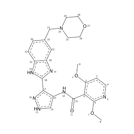 COc1ccnc(OC)c1C(=O)Nc1c[nH]nc1-c1nc2cc(CN3CCOCC3)ccc2[nH]1